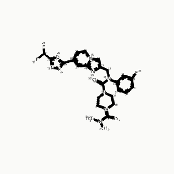 CN(C)C(=O)N1CCN(C(=O)N(Cc2cn3ccc(-c4nnc(C(F)F)o4)cc3n2)c2cccc(F)c2)CC1